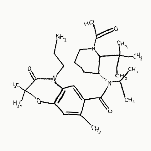 Cc1cc2c(cc1C(=O)N(C(C)C)[C@@H]1CCCN(C(=O)O)C1C(C)(C)C)N(CCN)C(=O)C(C)(C)O2